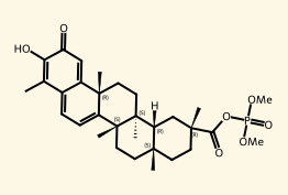 COP(=O)(OC)OC(=O)[C@]1(C)CC[C@]2(C)CC[C@]3(C)C4=CC=C5C(=CC(=O)C(O)=C5C)[C@]4(C)CC[C@@]3(C)[C@@H]2C1